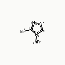 CCCn1cnnc1Br